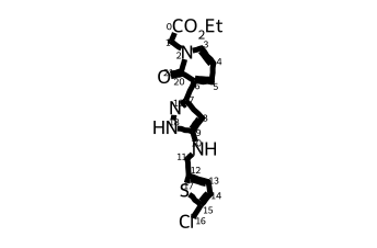 CCOC(=O)Cn1cccc(-c2cc(NCc3ccc(Cl)s3)[nH]n2)c1=O